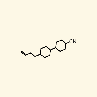 C=CCCC1CCC(C2CCC(C#N)CC2)CC1